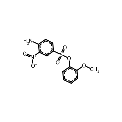 COc1ccccc1OS(=O)(=O)c1ccc(N)c([N+](=O)[O-])c1